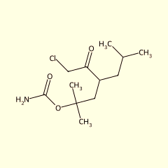 CC(C)CC(CC(C)(C)OC(N)=O)C(=O)CCl